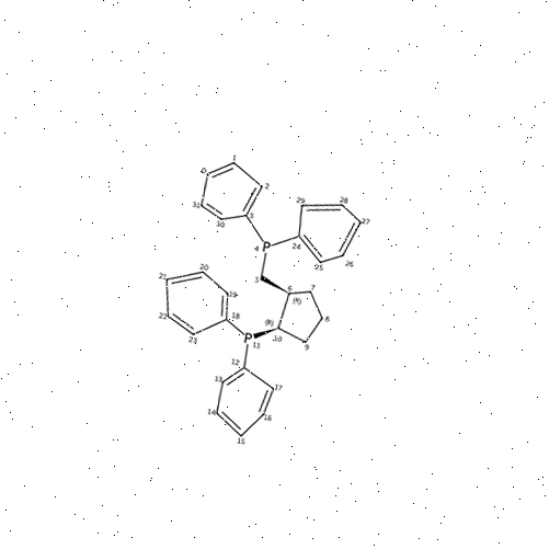 c1ccc(P(C[C@H]2CCC[C@H]2P(c2ccccc2)c2ccccc2)c2ccccc2)cc1